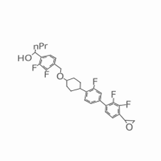 CCCC(O)c1ccc(COC2CCC(c3ccc(-c4ccc(C5CO5)c(F)c4F)cc3F)CC2)c(F)c1F